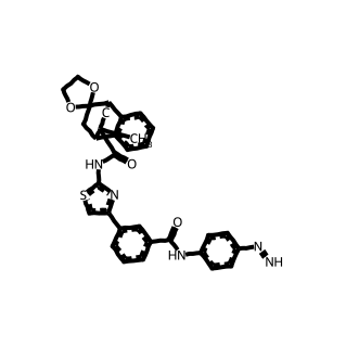 CC1(C(=O)Nc2nc(-c3cccc(C(=O)Nc4ccc(N=N)cc4)c3)cs2)CC2c3ccccc3C1CC21OCCO1